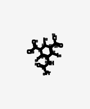 CC(C)C(=O)NC1=C(I)C(C(=O)Cl)C(I)C(C(=O)Cl)=C1I